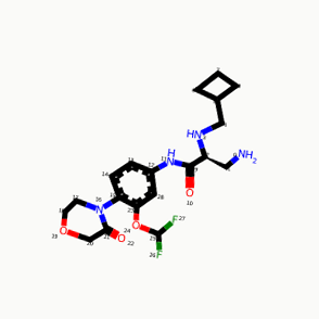 NC[C@H](NCC1CCC1)C(=O)Nc1ccc(N2CCOCC2=O)c(OC(F)F)c1